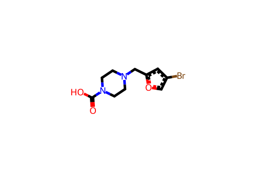 O=C(O)N1CCN(Cc2cc(Br)co2)CC1